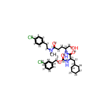 CN(CCc1ccc(Cl)cc1)C(=O)CCC(CO)NC(=O)C(CC1CCCCC1)NC(=O)OCc1cccc(Cl)c1